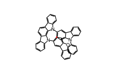 c1ccc(-n2c3ccccc3c3cc(-n4c5ccccc5c5ccc6c7ccccc7n(-c7ccc8oc9ccccc9c8c7)c6c54)ccc32)cc1